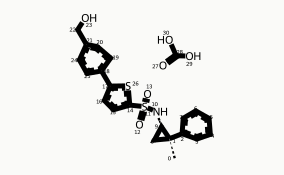 C[C@]1(c2ccccc2)C[C@@H]1NS(=O)(=O)c1ccc(-c2ccc(CO)cc2)s1.O=C(O)O